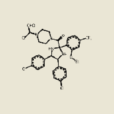 CCOc1cc(C(F)(F)F)ccc1C1(C(=O)N2CCN(C(Cl)C=O)CC2)NC(c2ccc(Cl)cc2)C(c2ccc(Cl)cc2)N1